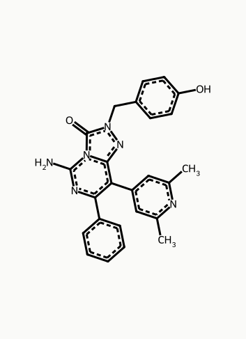 Cc1cc(-c2c(-c3ccccc3)nc(N)n3c(=O)n(Cc4ccc(O)cc4)nc23)cc(C)n1